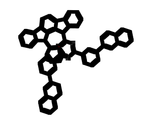 c1ccc(C2c3ccccc3-c3ccc4c(c32)C(c2nc(-c3cccc(-c5ccc6ccccc6c5)c3)nc(-c3cccc(-c5ccc6ccccc6c5)c3)n2)c2ccccc2-4)cc1